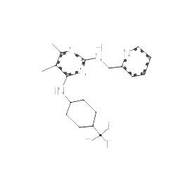 Cc1nc(NCc2ccccn2)nc(NC2CCC(C(F)(F)F)CC2)c1C